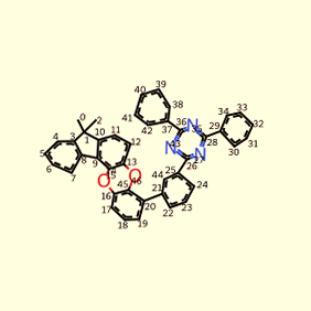 CC1(C)c2ccccc2-c2c1ccc1c2Oc2cccc(-c3cccc(-c4nc(-c5ccccc5)nc(-c5ccccc5)n4)c3)c2O1